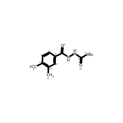 Cc1ccc(C(=O)NNC(=O)C(C)(C)C)cc1C